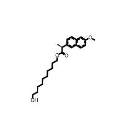 COc1ccc2cc([C@H](C)C(=O)OCCCCCCCCCCO)ccc2c1